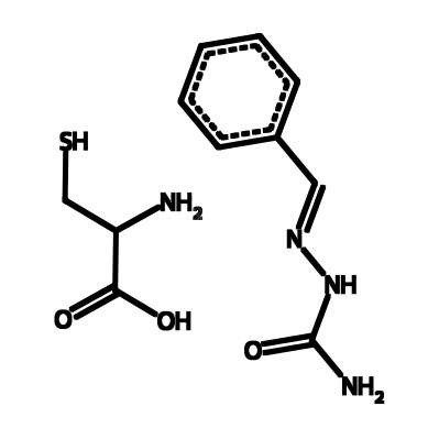 NC(=O)NN=Cc1ccccc1.NC(CS)C(=O)O